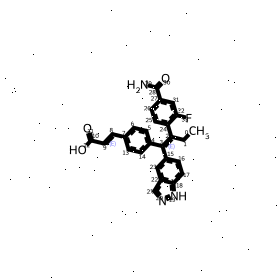 CC/C(=C(/c1ccc(/C=C/C(=O)O)cc1)c1ccc2[nH]ncc2c1)c1ccc(C(N)=O)cc1F